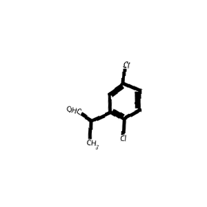 CC(C=O)c1cc(Cl)ccc1Cl